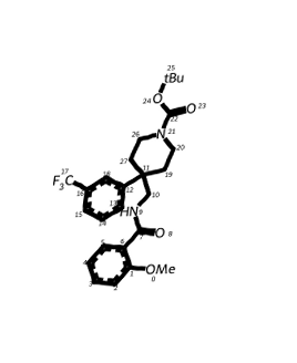 COc1ccccc1C(=O)NCC1(c2cccc(C(F)(F)F)c2)CCN(C(=O)OC(C)(C)C)CC1